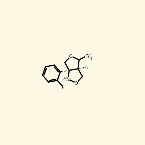 Fc1ccccc1[C@]12COC(C(F)(F)F)[C@H]1CON2